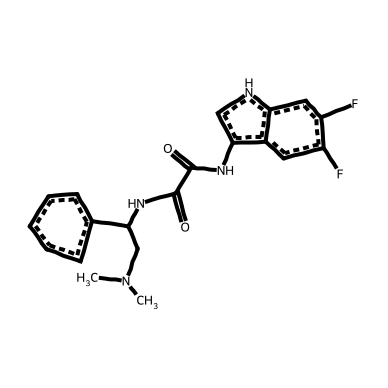 CN(C)CC(NC(=O)C(=O)Nc1c[nH]c2cc(F)c(F)cc12)c1ccccc1